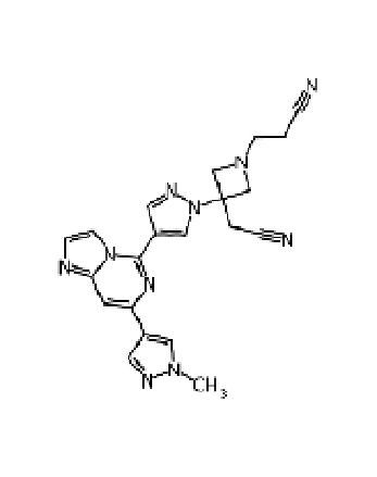 Cn1cc(-c2cc3nccn3c(-c3cnn(C4(CC#N)CN(CCC#N)C4)c3)n2)cn1